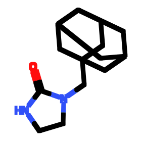 O=C1NCCN1CC12CC3CC(CC(C3)C1)C2